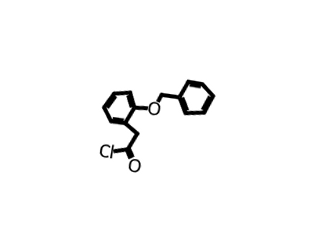 O=C(Cl)Cc1ccccc1OCc1ccccc1